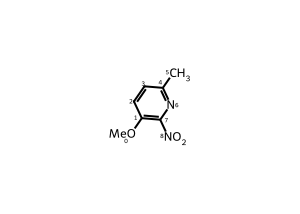 [CH2]Oc1ccc(C)nc1[N+](=O)[O-]